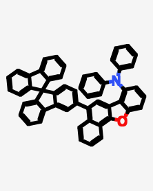 c1ccc(N(c2ccccc2)c2cccc3oc4c5ccccc5c(-c5ccc6c(c5)-c5ccccc5C65c6ccccc6-c6ccccc65)cc4c23)cc1